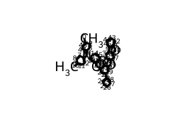 Cc1ccc(N(c2ccc(C)cc2)c2ccc3c(c2)Oc2cc(-c4ccccc4)cc4c2B3c2cc3c(cc2O4)oc2ccccc23)cc1